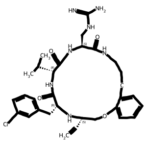 C=C[C@H]1COc2ccccc2CCCNC(=O)[C@H](CNC(=N)N)NC(=O)[C@@H](C(C)C)NC(=O)[C@@H](Cc2cccc(Cl)c2)N1